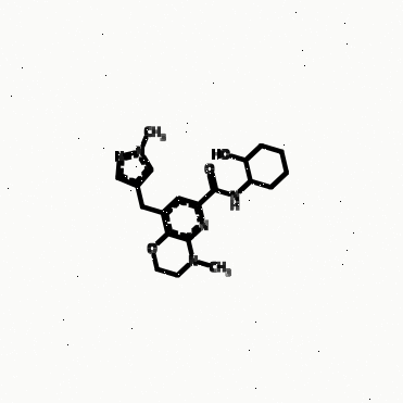 CN1CCOc2c(Cc3cnn(C)c3)cc(C(=O)NC3CCCCC3O)nc21